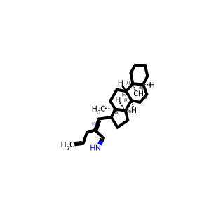 C=CC/C(C=N)=C/C1CC[C@@H]2[C@@H]3CC[C@@H]4CCCC[C@]4(C)[C@H]3CC[C@]12C